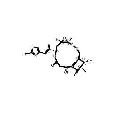 CCc1nc(/C=C(\C)[C@@H]2C[C@@H]3O[C@]3(C)CCC[C@@H]3C=C(C(=O)[C@H](C)[C@H]3O)[C@@H](O)CC(=O)O2)cs1